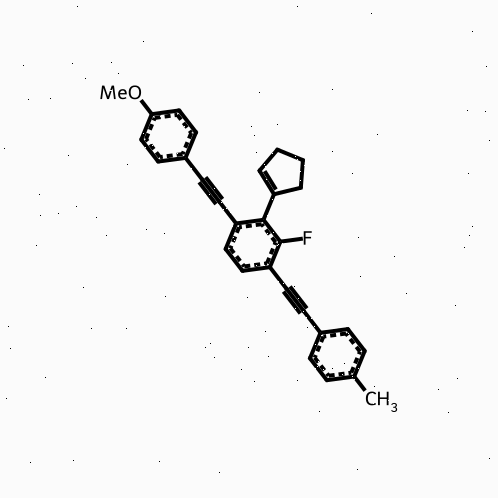 COc1ccc(C#Cc2ccc(C#Cc3ccc(C)cc3)c(F)c2C2=CCCC2)cc1